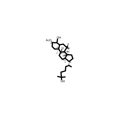 CC(=O)O[C@H]1CC[C@@]2(C)C(CC(F)(F)[C@H]3[C@@H]4CC[C@H](C(C)CCCC(C)(C)O)[C@@]4(C)CC[C@@H]32)C1O